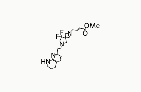 COC(=O)/C=C/CN1CC2(CN(CCc3ccc4c(n3)NCCC4)CC2(F)F)C1